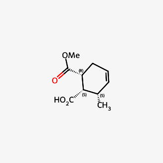 COC(=O)[C@@H]1CC=C[C@H](C)[C@@H]1C(=O)O